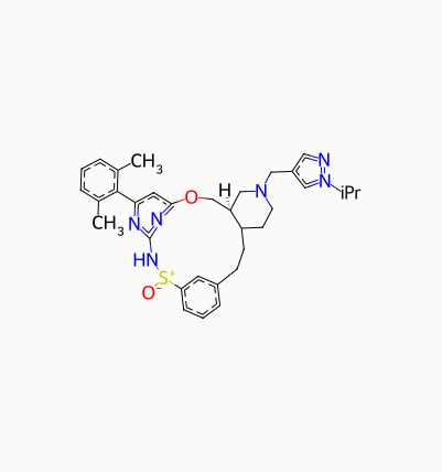 Cc1cccc(C)c1-c1cc2nc(n1)N[S+]([O-])c1cccc(c1)CCC1CCN(Cc3cnn(C(C)C)c3)C[C@@H]1CO2